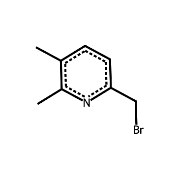 Cc1ccc(CBr)nc1C